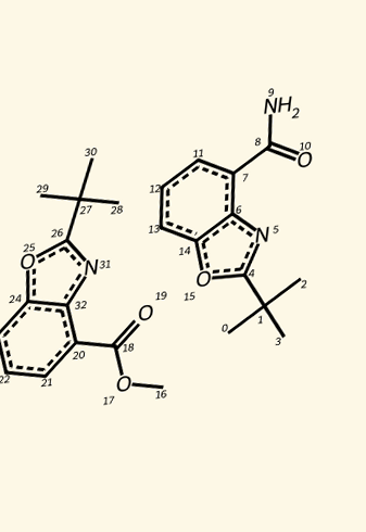 CC(C)(C)c1nc2c(C(N)=O)cccc2o1.COC(=O)c1cccc2oc(C(C)(C)C)nc12